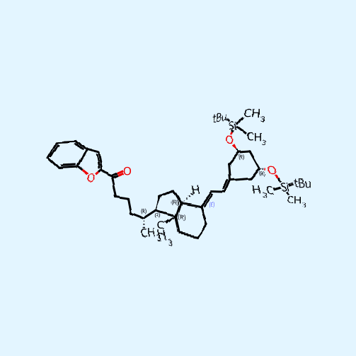 C[C@H](CCCC(=O)c1cc2ccccc2o1)[C@H]1CC[C@H]2/C(=C/C=C3C[C@@H](O[Si](C)(C)C(C)(C)C)C[C@H](O[Si](C)(C)C(C)(C)C)C3)CCC[C@]12C